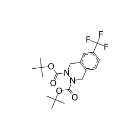 CC(C)(C)OC(=O)N1Cc2ccc(C(F)(F)F)cc2CN1C(=O)OC(C)(C)C